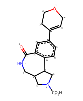 O=C1NCC2CN(C(=O)O)CC2c2ccc(C3=CCOCC3)cc21